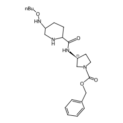 CCCCONC1CCC(C(=O)N[C@H]2CCN(C(=O)OCc3ccccc3)C2)NC1